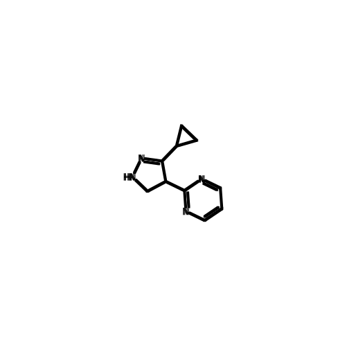 c1cnc(C2CNN=C2C2CC2)nc1